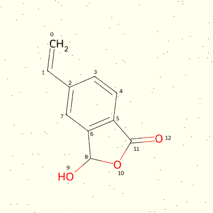 C=Cc1ccc2c(c1)C(O)OC2=O